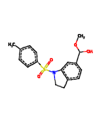 COC(O)c1ccc2c(c1)N(S(=O)(=O)c1ccc(C)cc1)CC2